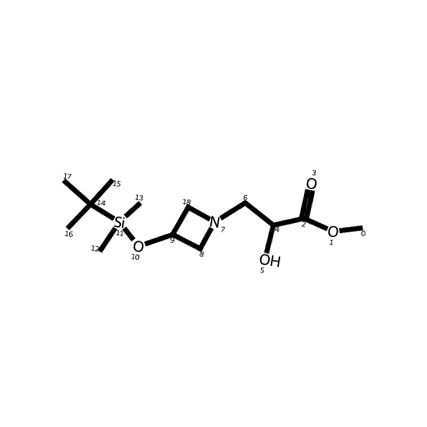 COC(=O)C(O)CN1CC(O[Si](C)(C)C(C)(C)C)C1